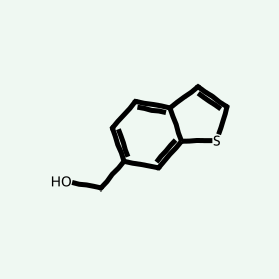 O[CH]c1ccc2ccsc2c1